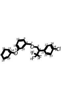 FC(F)(F)C(COCc1cccc(Oc2ccccc2)c1)c1ccc(Cl)cc1